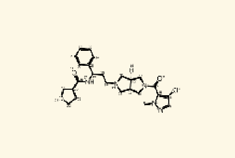 Cn1ncc(Cl)c1C(=O)N1CC2CN(CCC(NC(=O)C3CCOC3)c3ccccc3)C[C@H]2C1